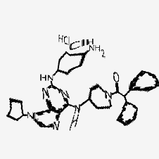 Cl.Cl.NC1CCC(Nc2nc(NC3CCN(C(=O)C(c4ccccc4)c4ccccc4)CC3)c3ncn(C4CCCC4)c3n2)CC1